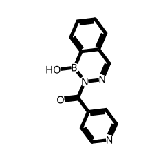 O=C(c1ccncc1)N1N=Cc2ccccc2B1O